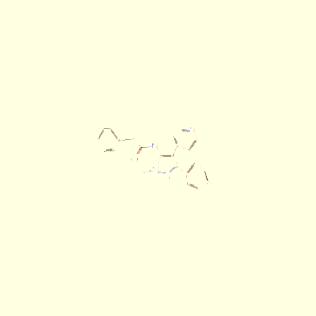 Cn1nc(-c2ccc(F)cc2)c(-c2ccncc2)c1NC(=O)Cc1cccc(F)c1F